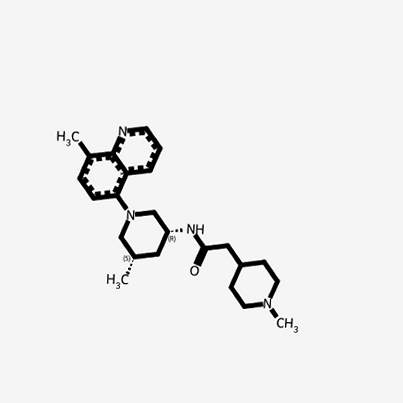 Cc1ccc(N2C[C@@H](C)C[C@@H](NC(=O)CC3CCN(C)CC3)C2)c2cccnc12